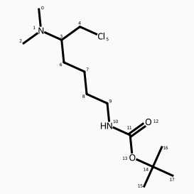 CN(C)C(CCl)CCCCNC(=O)OC(C)(C)C